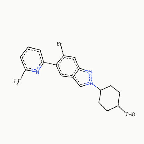 CCc1cc2nn(C3CCC(C=O)CC3)cc2cc1-c1cccc(C(F)(F)F)n1